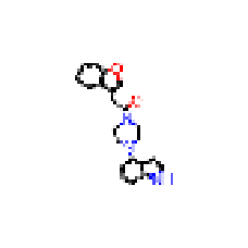 O=C(Cc1coc2ccccc12)N1CCN(c2cccc3[nH]ccc23)CC1